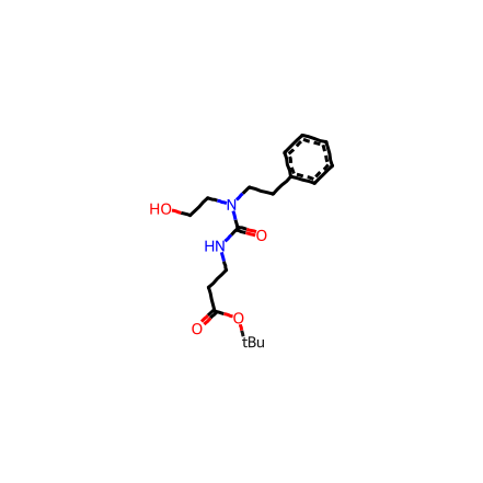 CC(C)(C)OC(=O)CCNC(=O)N(CCO)CCc1ccccc1